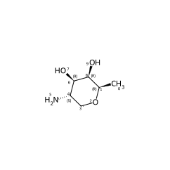 C[C@H]1O[CH][C@H](N)[C@@H](O)[C@H]1O